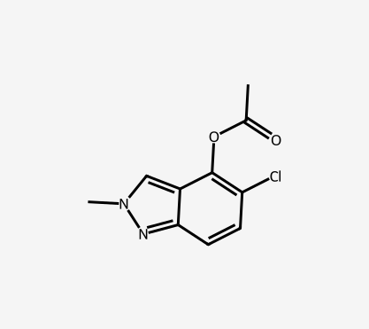 CC(=O)Oc1c(Cl)ccc2nn(C)cc12